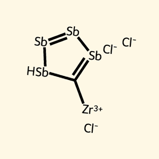 [Cl-].[Cl-].[Cl-].[Zr+3][C]1=[Sb][Sb]=[Sb][SbH]1